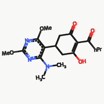 CCCC(=O)C1=C(O)CC(c2c(OC)nc(OC)nc2N(C)C)CC1=O